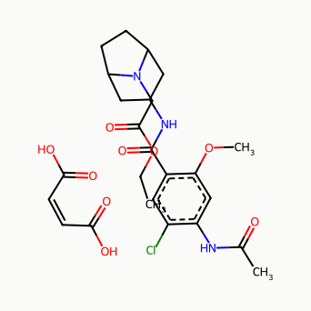 CCOC(=O)CN1C2CCC1CC(NC(=O)c1cc(Cl)c(NC(C)=O)cc1OC)C2.O=C(O)/C=C\C(=O)O